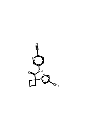 Cc1cnn(C2(C(=O)Nc3ccc(C#N)nc3)CCC2)c1